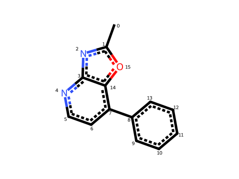 Cc1nc2nccc(-c3ccccc3)c2o1